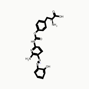 Nc1nc(NC(=O)Oc2ccc(C[C@H](N)C(=O)O)cc2)ccc1/N=N/c1ccccc1O